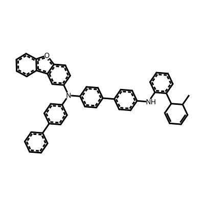 CC1C=CC=CC1c1ccccc1Nc1ccc(-c2ccc(N(c3ccc(-c4ccccc4)cc3)c3ccc4oc5ccccc5c4c3)cc2)cc1